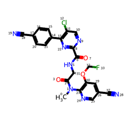 CN(C(=O)CNC(=O)c1ncc(Cl)c(-c2ccc(C#N)cc2)n1)c1ncc(C#N)cc1OCF